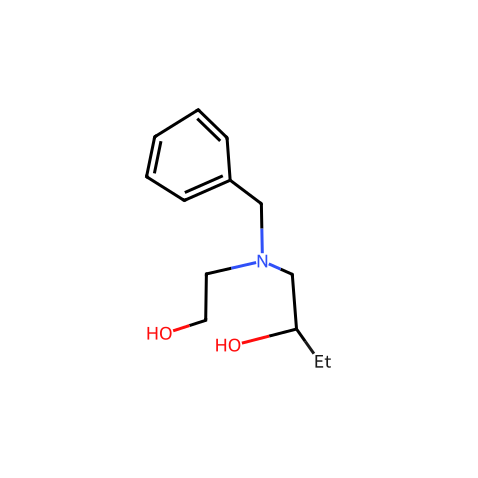 CCC(O)CN(CCO)Cc1ccccc1